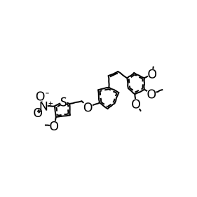 COc1cc(COc2cccc(/C=C\c3cc(OC)c(OC)c(OC)c3)c2)sc1[N+](=O)[O-]